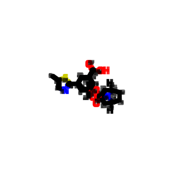 Cc1cnc(-c2cc(O[C@H]3C[C@H]4CC[C@@H](C3)N4C(=O)OC(C)(C)C)cc(C(=O)O)c2)s1